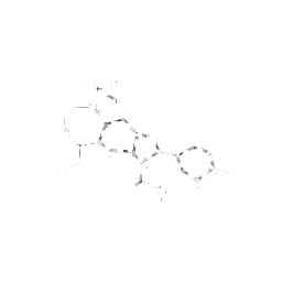 CNC(=O)c1c(-c2ccc(F)cc2)oc2cc3c(cc12)C(CF)OCCN3S(C)(=O)=O